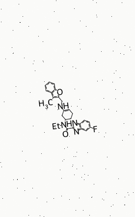 CCN(C(=O)c1nc2cc(F)ccc2[nH]1)[C@H]1CCC=C(NCc2oc3ccccc3c2C)C1